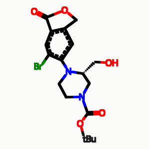 CC(C)(C)OC(=O)N1CCN(c2cc3c(cc2Br)C(=O)OC3)[C@H](CO)C1